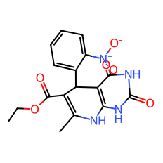 CCOC(=O)C1=C(C)Nc2[nH]c(=O)[nH]c(=O)c2C1c1ccccc1[N+](=O)[O-]